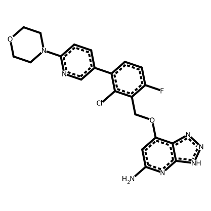 Nc1cc(OCc2c(F)ccc(-c3ccc(N4CCOCC4)nc3)c2Cl)c2nn[nH]c2n1